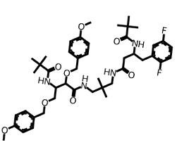 COc1ccc(COCC(NC(=O)C(C)(C)C)C(OCc2ccc(OC)cc2)C(=O)NCC(C)(C)CNC(=O)CC(Cc2cc(F)ccc2F)NC(=O)C(C)(C)C)cc1